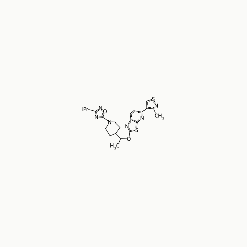 Cc1nscc1-c1ccc2nc(OC(C)C3CCN(c4nc(C(C)C)no4)CC3)sc2n1